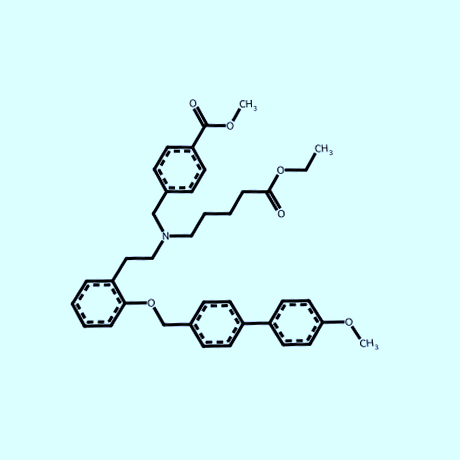 CCOC(=O)CCCCN(CCc1ccccc1OCc1ccc(-c2ccc(OC)cc2)cc1)Cc1ccc(C(=O)OC)cc1